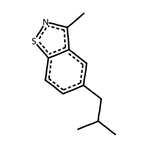 Cc1nsc2ccc(CC(C)C)cc12